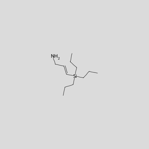 CCC[Si](C=CCN)(CCC)CCC